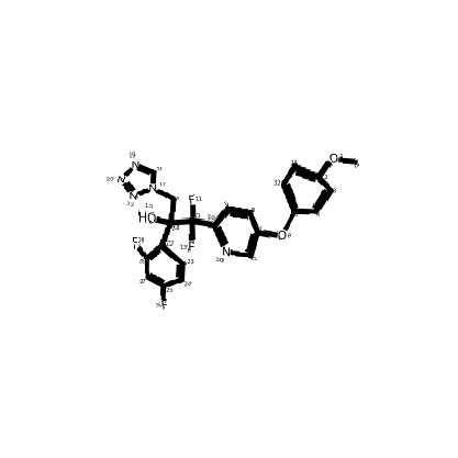 COc1ccc(Oc2ccc(C(F)(F)C(O)(Cn3cnnn3)c3ccc(F)cc3F)nc2)cc1